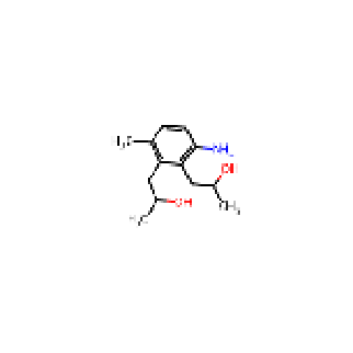 Cc1ccc(N)c(CC(C)O)c1CC(C)O